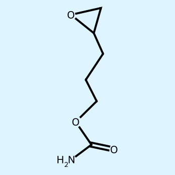 NC(=O)OCCCC1CO1